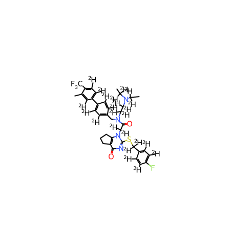 [2H]c1c([2H])c(C([2H])([2H])Sc2nc(=O)c3c(n2C([2H])([2H])C(=O)N(Cc2c([2H])c([2H])c(-c4c([2H])c([2H])c(C(F)(F)F)c(C)c4[2H])c([2H])c2[2H])C([2H])([2H])C([2H])([2H])N(C([2H])([2H])C)C([2H])([2H])C)CCC3)c([2H])c([2H])c1F